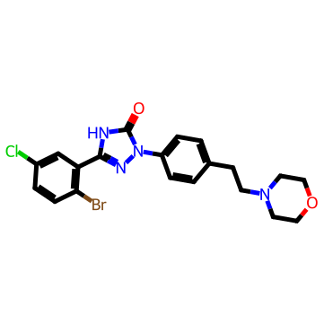 O=c1[nH]c(-c2cc(Cl)ccc2Br)nn1-c1ccc(CCN2CCOCC2)cc1